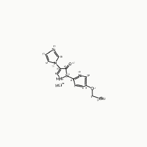 CC(C)(C)COc1ccc(-n2[nH]cc(-n3ccnc3)c2=O)nc1.Cl